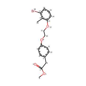 COC(=O)Cc1ccc(OCCOc2cccc(Br)c2C)cc1